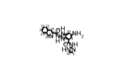 Nc1cc(C(=O)Nc2ncc[nH]2)c2nc(NC(=O)c3cc4ccccc4cn3)[nH]c2c1